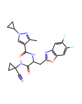 Cc1nn(C2CC2)cc1C(=O)NC(Cc1nc2cc(F)c(F)cc2o1)C(=O)NC1(C#N)CC1